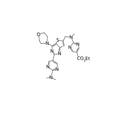 CCOC(=O)c1cnc(N(C)Cc2cc3nc(-c4cnc(N(C)C)nc4)nc(N4CCOCC4)c3s2)nc1